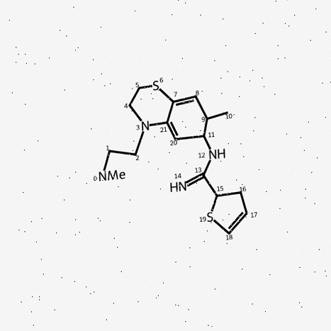 CNCCN1CCSC2=CC(C)C(NC(=N)C3CC=CS3)C=C21